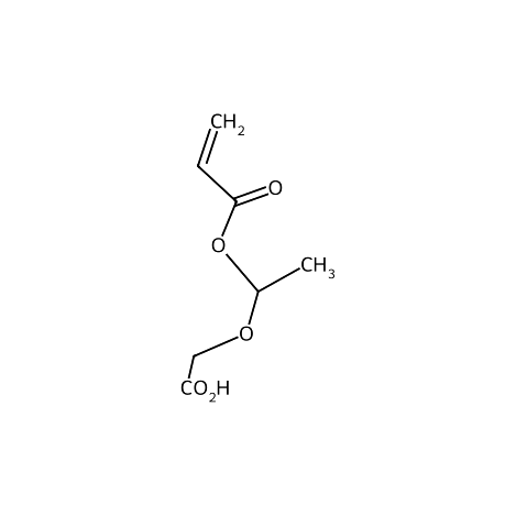 C=CC(=O)OC(C)OCC(=O)O